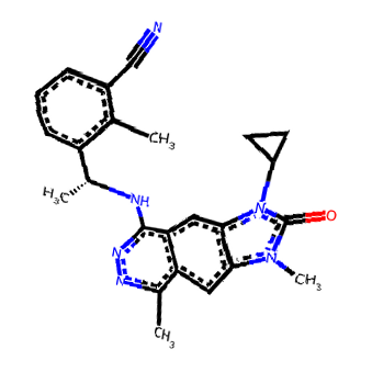 Cc1c(C#N)cccc1[C@@H](C)Nc1nnc(C)c2cc3c(cc12)n(C1CC1)c(=O)n3C